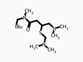 CN(C)CSC(CC(=O)N(C)CC(C)(C)C)CN(C)C